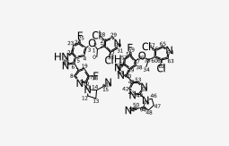 CC(Oc1cc2c(-c3cnc(N4CCC4C#N)c(F)c3)n[nH]c2cc1F)c1c(Cl)cncc1Cl.CC(Oc1cc2c(-c3cnc(N4CCC[C@H]4C#N)nc3)n[nH]c2cc1F)c1c(Cl)cncc1Cl